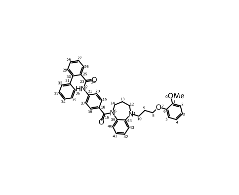 COc1ccccc1OCCCN1CCCN(C(=O)c2ccc(NC(=O)c3ccccc3-c3ccccc3)cc2)c2ccccc21